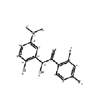 C=C(c1ccc(F)cc1F)C(O)c1cc(N(C)C)ccc1Cl